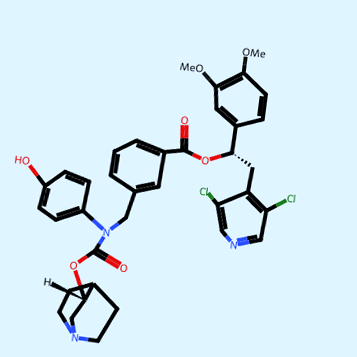 COc1ccc([C@H](Cc2c(Cl)cncc2Cl)OC(=O)c2cccc(CN(C(=O)O[C@H]3CN4CCC3CC4)c3ccc(O)cc3)c2)cc1OC